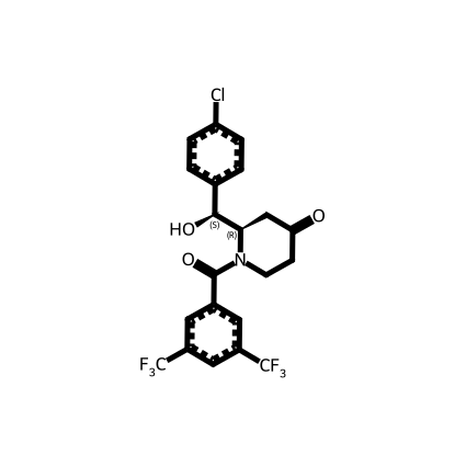 O=C1CCN(C(=O)c2cc(C(F)(F)F)cc(C(F)(F)F)c2)[C@@H]([C@@H](O)c2ccc(Cl)cc2)C1